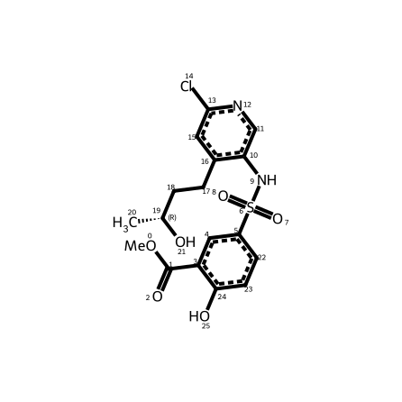 COC(=O)c1cc(S(=O)(=O)Nc2cnc(Cl)cc2CC[C@@H](C)O)ccc1O